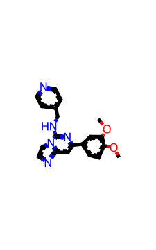 COc1ccc(-c2cc3nccn3c(NCc3ccncc3)n2)cc1OC